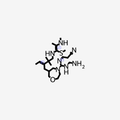 C/C=C(\CC1COCCN(C(/N=C\CC#N)NCN)C1)C(C)(C)CN/C(SC)=C(\C)NC